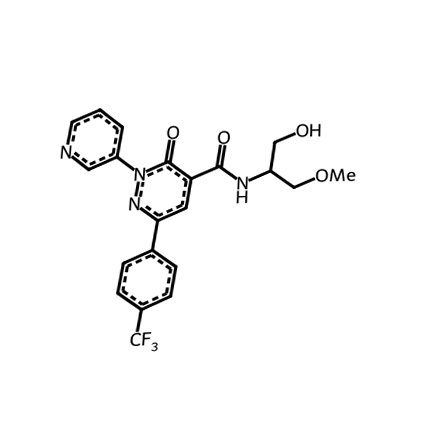 COCC(CO)NC(=O)c1cc(-c2ccc(C(F)(F)F)cc2)nn(-c2cccnc2)c1=O